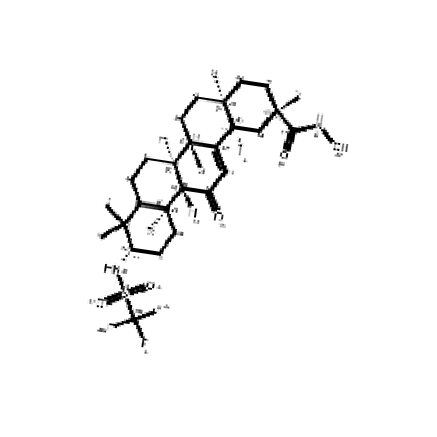 CC1(C)C2CC[C@]3(C)[C@H](C(=O)C=C4[C@@H]5C[C@@](C)(C(=O)NO)CC[C@]5(C)CC[C@]43C)[C@@]2(C)CC[C@@H]1NS(=O)(=O)C(F)(F)F